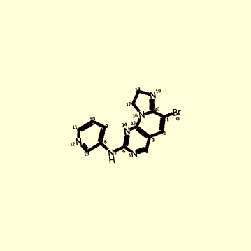 BrC1=Cc2cnc(Nc3cccnc3)nc2N2CCN=C12